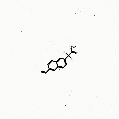 C=Cc1ccc2cc(C(F)(F)C(=O)OC)ccc2c1